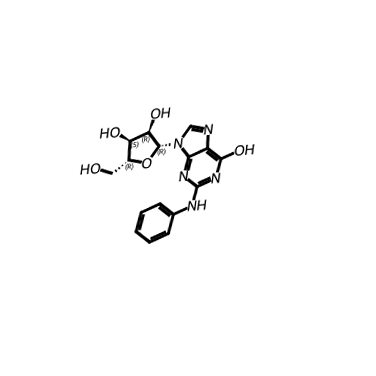 OC[C@H]1O[C@@H](n2cnc3c(O)nc(Nc4ccccc4)nc32)[C@H](O)[C@@H]1O